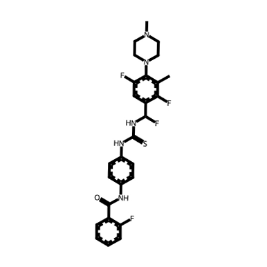 Cc1c(F)c(C(F)NC(=S)Nc2ccc(NC(=O)c3ccccc3F)cc2)cc(F)c1N1CCN(C)CC1